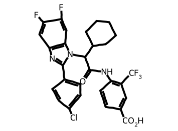 O=C(O)c1ccc(NC(=O)C(C2CCCCC2)n2c(-c3ccc(Cl)cc3)nc3cc(F)c(F)cc32)c(C(F)(F)F)c1